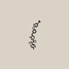 Cc1cnc(NC(=O)N2CCC(=Cc3cccc(Oc4ccc(C5CC5)cn4)c3)C(C)C2)cn1